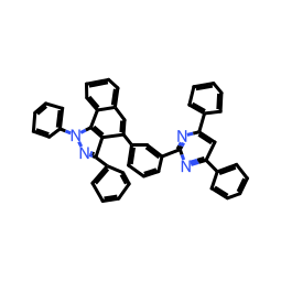 c1ccc(-c2cc(-c3ccccc3)nc(-c3cccc(-c4cc5ccccc5c5c4c(-c4ccccc4)nn5-c4ccccc4)c3)n2)cc1